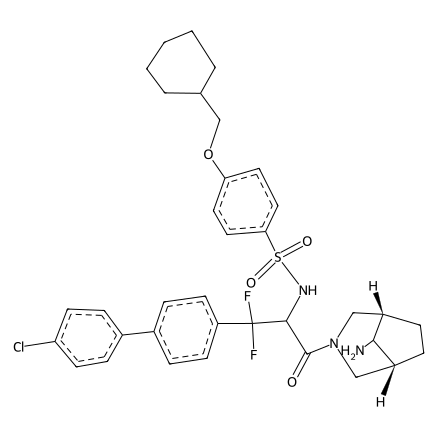 NC1[C@@H]2CC[C@H]1CN(C(=O)C(NS(=O)(=O)c1ccc(OCC3CCCCC3)cc1)C(F)(F)c1ccc(-c3ccc(Cl)cc3)cc1)C2